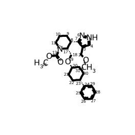 COCc1c[nH]nc1[C@H]1CCCN(C(=O)OC)[C@H]1CO[C@H]1CC[C@@H](c2ccccc2)CC1